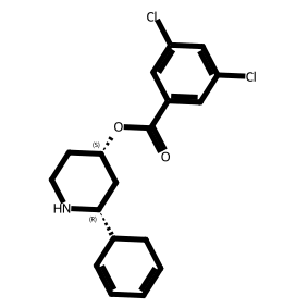 O=C(O[C@H]1CCN[C@@H](C2C=CC=CC2)C1)c1cc(Cl)cc(Cl)c1